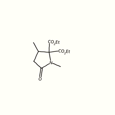 CCOC(=O)C1(C(=O)OCC)C(C)CC(=O)N1C